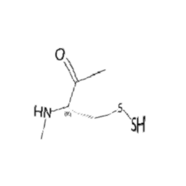 CN[C@@H](CSS)C(C)=O